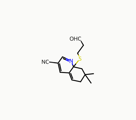 CC1(C)CC=C2C=C(C#N)C=NC2(SCCC=O)C1